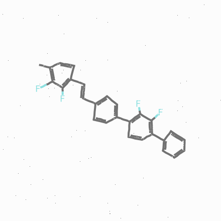 Cc1ccc(/C=C/c2ccc(-c3ccc(-c4ccccc4)c(F)c3F)cc2)c(F)c1F